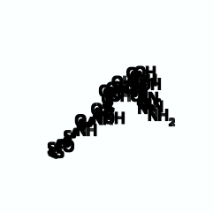 CC(C)(COP(=O)(O)OP(=O)(O)OCC1OC(C)(n2cnc3c(N)ncnc32)C(O)C1OP(=O)(O)O)C(O)C(=O)NCCC(=O)NCCSC(=O)C=C1SCCS1